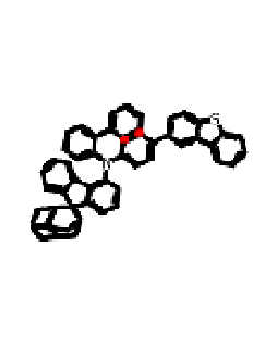 c1ccc(-c2ccccc2N(c2ccc(-c3ccc4sc5ccccc5c4c3)cc2)c2cccc3c2-c2ccccc2C32C3CC4CC(C3)CC2C4)cc1